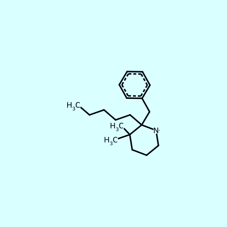 CCCCCC1(Cc2ccccc2)[N]CCCC1(C)C